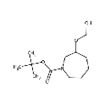 CC(C)(C)OC(=O)N1CCCCC(OCO)C1